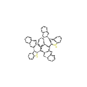 c1ccc2cc(-c3c(-c4c5ccccc5c(-c5sc6ccccc6c5-c5ccc6ccccc6c5)c5cc6ccccc6cc45)sc4ccccc34)ccc2c1